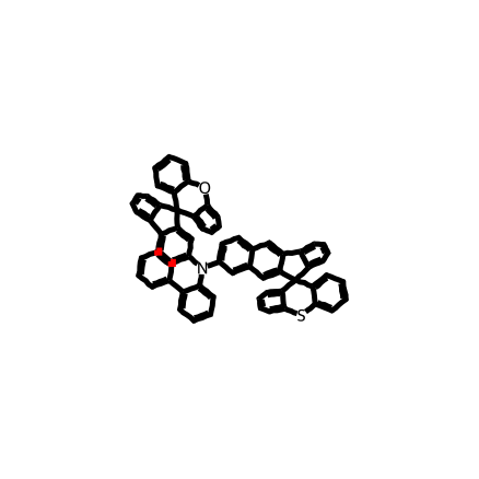 c1ccc(-c2ccccc2N(c2ccc3c(c2)C2(c4ccccc4Oc4ccccc42)c2ccccc2-3)c2ccc3cc4c(cc3c2)C2(c3ccccc3Sc3ccccc32)c2ccccc2-4)cc1